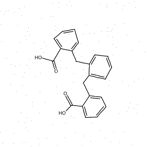 O=C(O)c1ccccc1Cc1ccccc1Cc1ccccc1C(=O)O